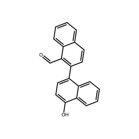 O=Cc1c(-c2ccc(O)c3ccccc23)ccc2ccccc12